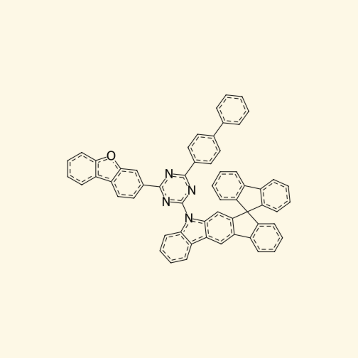 c1ccc(-c2ccc(-c3nc(-c4ccc5c(c4)oc4ccccc45)nc(-n4c5ccccc5c5cc6c(cc54)C4(c5ccccc5-c5ccccc54)c4ccccc4-6)n3)cc2)cc1